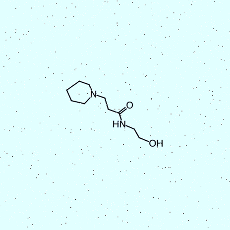 O=C(CCN1CCCCC1)NCCO